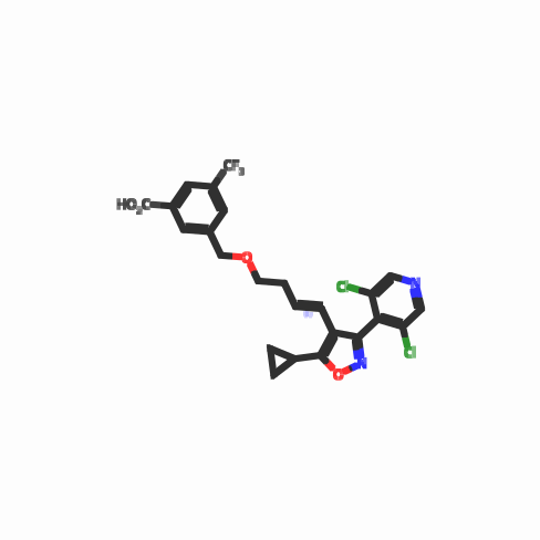 O=C(O)c1cc(COCC/C=C/c2c(-c3c(Cl)cncc3Cl)noc2C2CC2)cc(C(F)(F)F)c1